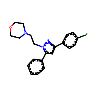 Fc1ccc(-c2cc(-c3ccccc3)n(CCN3CCOCC3)n2)cc1